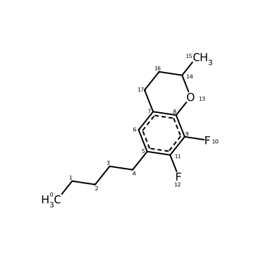 CCCCCc1cc2c(c(F)c1F)OC(C)CC2